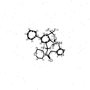 O=C(Cc1cscc1NS(=O)(=O)c1c(C(F)(F)F)cc(-c2ccccc2)cc1C(F)(F)F)N1CCOCC1